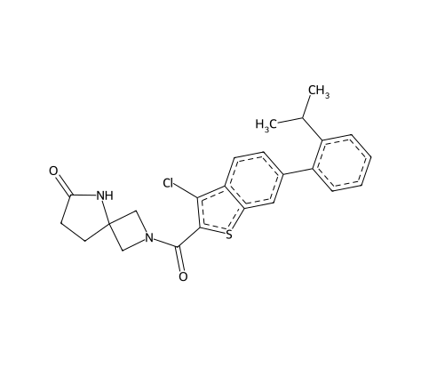 CC(C)c1ccccc1-c1ccc2c(Cl)c(C(=O)N3CC4(CCC(=O)N4)C3)sc2c1